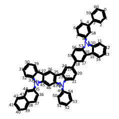 c1ccc(-c2cccc(-n3c4ccccc4c4cc(-c5ccc6c(c5)c5cc7c8ccccc8n(-c8ccc9ccccc9c8)c7cc5n6-c5ccccc5)ccc43)c2)cc1